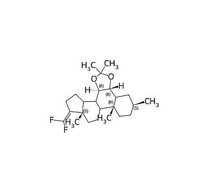 C[C@H]1CC[C@]2(C)C3CC[C@]4(C)C(=C(F)F)CCC4C3[C@H]3OC(C)(C)O[C@@H]3C2C1